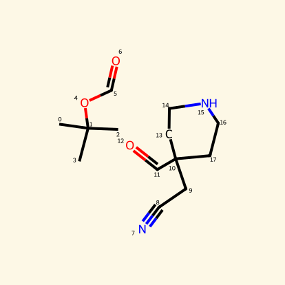 CC(C)(C)OC=O.N#CCC1(C=O)CCNCC1